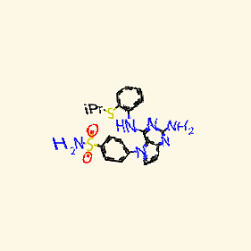 CC(C)Sc1ccccc1Nc1nc(N)nc2ccn(-c3ccc(S(N)(=O)=O)cc3)c12